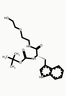 CC(C)(C)OC(=O)N[C@@H](Cc1c[nH]c2ccccc12)C(=O)NCCOCCO